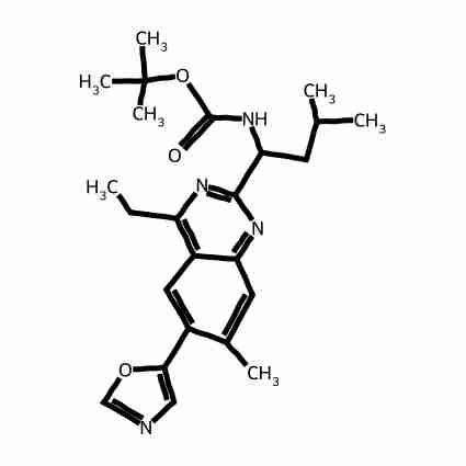 CCc1nc(C(CC(C)C)NC(=O)OC(C)(C)C)nc2cc(C)c(-c3cnco3)cc12